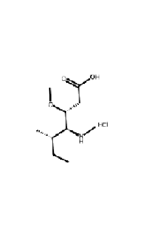 CC[C@H](C)[C@H](NC)[C@@H](CC(=O)O)OC.Cl